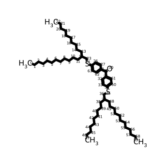 CCCCCCCCCCCCC(CCCCCCCCCC)CSc1ccc(C(=O)c2ccc(SCC(CCCCCCCCCC)CCCCCCCCCCCC)cc2)cc1